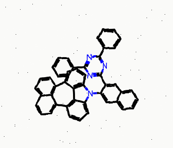 c1ccc(-c2nc(-c3ccccc3)nc(-c3cc4ccccc4cc3-n3c4cccc5c4c4c(cccc43)-c3cccc4cccc-5c34)n2)cc1